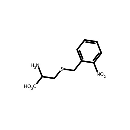 NC(CSCc1ccccc1[N+](=O)[O-])C(=O)O